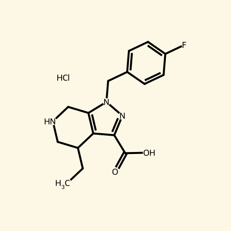 CCC1CNCc2c1c(C(=O)O)nn2Cc1ccc(F)cc1.Cl